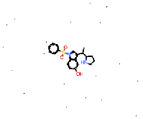 CC(c1cn(S(=O)(=O)c2ccccc2)c2ccc(O)cc12)C1CCCN1